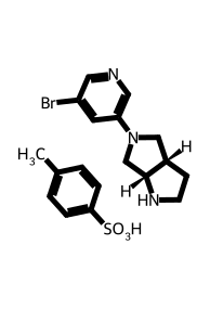 Brc1cncc(N2C[C@@H]3CCN[C@@H]3C2)c1.Cc1ccc(S(=O)(=O)O)cc1